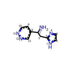 NC(Cc1ncc[nH]1)c1ccnnc1